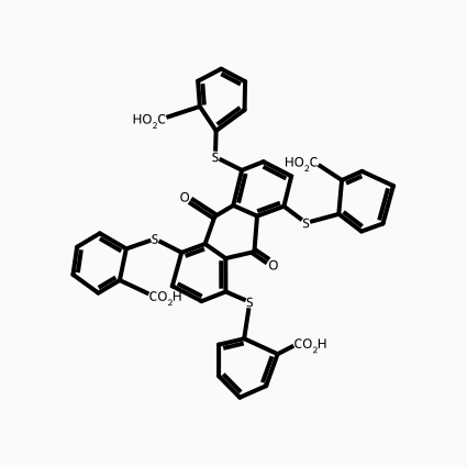 O=C(O)c1ccccc1Sc1ccc(Sc2ccccc2C(=O)O)c2c1C(=O)c1c(Sc3ccccc3C(=O)O)ccc(Sc3ccccc3C(=O)O)c1C2=O